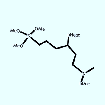 CCCCCCCCCCN(C)CCC(CCCCCCC)CCC[Si](OC)(OC)OC